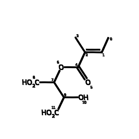 C/C=C(\C)C(=O)OC(C(=O)O)C(O)C(=O)O